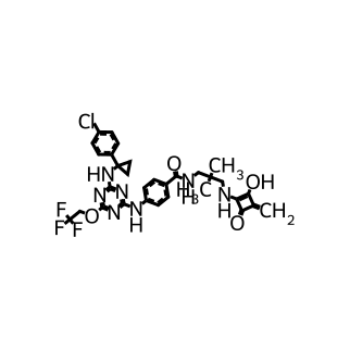 C=C1C(=O)C(NCC(C)(C)CNC(=O)c2ccc(Nc3nc(NC4(c5ccc(Cl)cc5)CC4)nc(OCC(F)(F)F)n3)cc2)=C1O